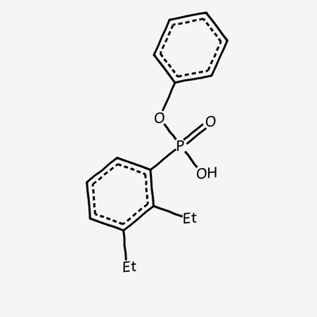 CCc1cccc(P(=O)(O)Oc2ccccc2)c1CC